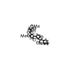 CNC(=O)c1c(-c2ccc(F)cc2)oc2ccc(-c3cc(C(=O)NC4(C(=O)OC)CC4)c(OC)cc3Cl)cc12